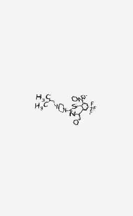 CC(C)CCN1CCN(C2=NC(C=O)c3cc(C(F)(F)F)cc([N+](=O)[O-])c3S2)CC1